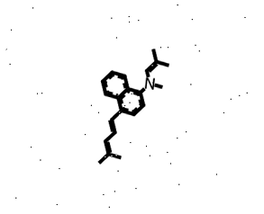 CC(C)=CC=Cc1ccc(N(C)C=C(C)C)c2ccccc12